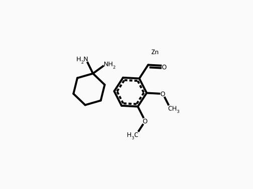 COc1cccc(C=O)c1OC.NC1(N)CCCCC1.[Zn]